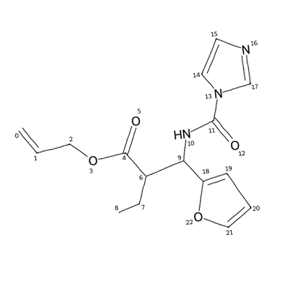 C=CCOC(=O)C(CC)C(NC(=O)n1ccnc1)c1ccco1